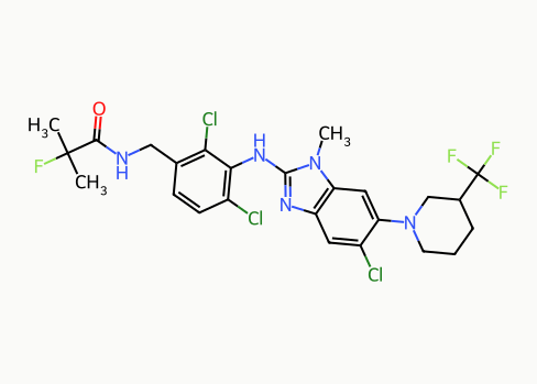 Cn1c(Nc2c(Cl)ccc(CNC(=O)C(C)(C)F)c2Cl)nc2cc(Cl)c(N3CCCC(C(F)(F)F)C3)cc21